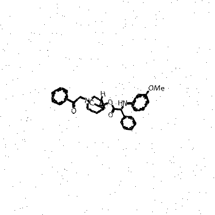 COc1cccc(NC(C(=O)O[C@H]2C[N+]3(CC(=O)c4ccccc4)CCC2CC3)c2ccccc2)c1